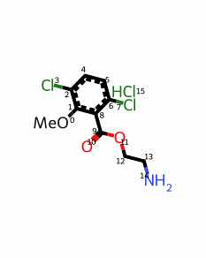 COc1c(Cl)ccc(Cl)c1C(=O)OCCN.Cl